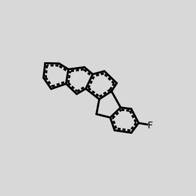 Fc1ccc2c(c1)-c1ccc3cc4ccccc4cc3c1C2